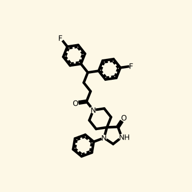 O=C(CCC(c1ccc(F)cc1)c1ccc(F)cc1)N1CCC2(CC1)C(=O)NCN2c1ccccc1